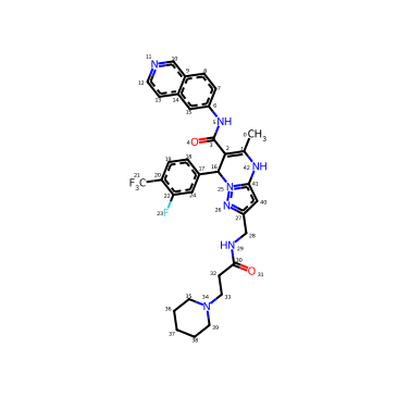 CC1=C(C(=O)Nc2ccc3cnccc3c2)C(c2ccc(C(F)(F)F)c(F)c2)n2nc(CNC(=O)CCN3CCCCC3)cc2N1